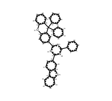 c1ccc(-c2nc(-c3ccc4c(c3)C(c3ccccc3)(c3ccccc3)c3ccccc3O4)nc(-c3ccc4c(c3)sc3ccccc34)n2)cc1